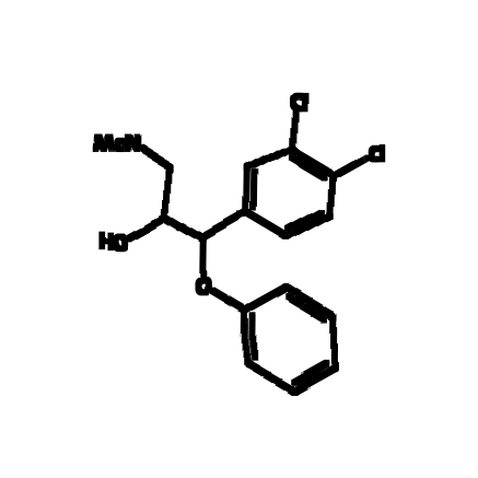 CNCC(O)C(Oc1ccccc1)c1ccc(Cl)c(Cl)c1